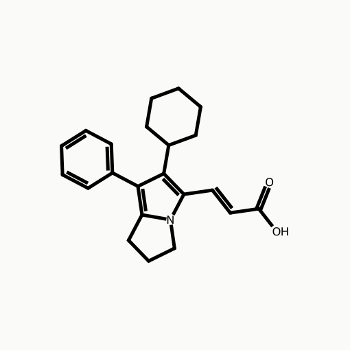 O=C(O)C=Cc1c(C2CCCCC2)c(-c2ccccc2)c2n1CCC2